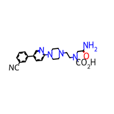 N#Cc1cccc(-c2ccc(N3CCN(CCN(CC(N)=O)C(=O)O)CC3)nc2)c1